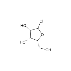 OC[C@H]1OC(Cl)[C@@H](O)[C@H]1O